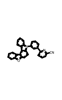 N#Cc1cccc(-c2cccc(-n3c4ccccc4c4c5c(ccc43)oc3ccccc35)c2)n1